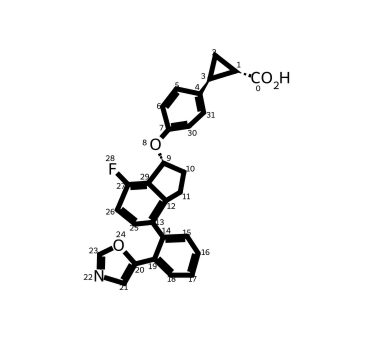 O=C(O)[C@H]1C[C@@H]1c1ccc(O[C@@H]2CCc3c(-c4ccccc4-c4cnco4)ccc(F)c32)cc1